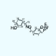 C/C(=N\OCc1cccc(OC(F)(F)F)c1)c1ccc(C)c(O)c1